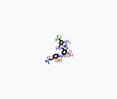 Cc1nc(N[C@H](C)c2cc(N)cc(C(F)(F)F)c2)c2cc(Nc3cccc(CC(=O)N(C)C)c3O)ccc2n1.O=CO